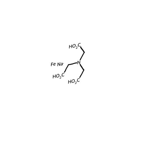 O=C(O)CN(CC(=O)O)CC(=O)O.[Fe].[Na]